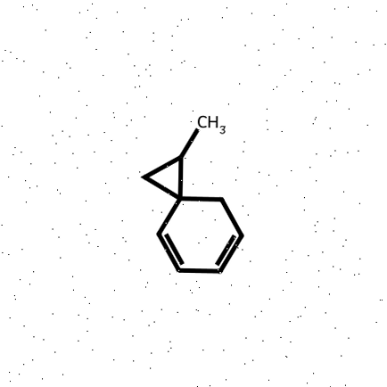 CC1CC12C=CC=CC2